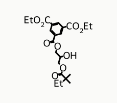 CCOC(=O)c1cc(C(=O)OCC)cc(C(=O)OCC(O)COC(=O)C(C)(C)CC)c1